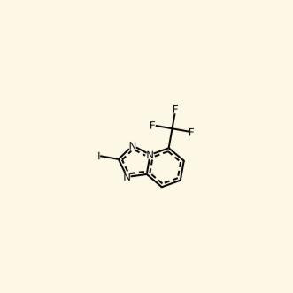 FC(F)(F)c1cccc2nc(I)nn12